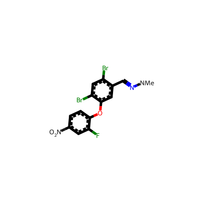 CN/N=C/c1cc(Oc2ccc([N+](=O)[O-])cc2F)c(Br)cc1Br